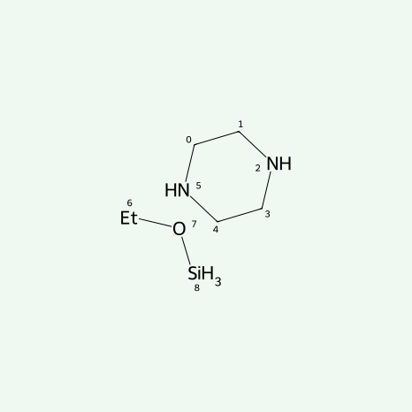 C1CNCCN1.CCO[SiH3]